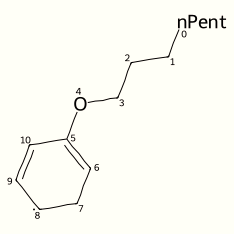 CCCCCCCCOC1=CC[CH]C=C1